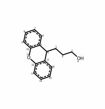 OCC[CH]C1c2ccccc2Oc2ccccc21